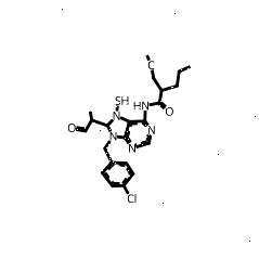 CCCC(CCC)C(=O)Nc1ncnc2c1N(S)C(C(C)C=O)N2Cc1ccc(Cl)cc1